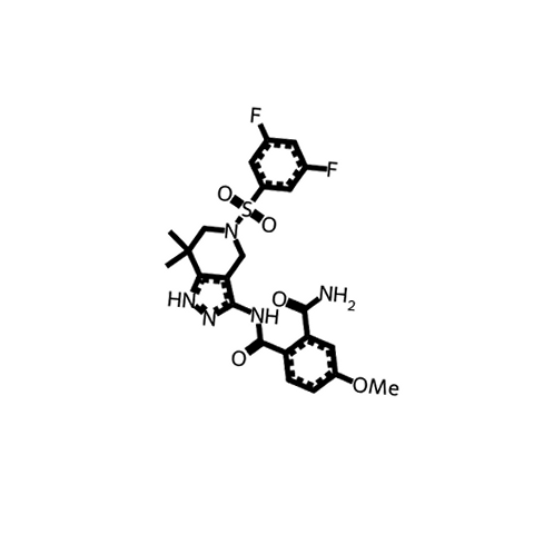 COc1ccc(C(=O)Nc2n[nH]c3c2CN(S(=O)(=O)c2cc(F)cc(F)c2)CC3(C)C)c(C(N)=O)c1